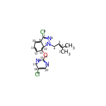 CC(C)=CCn1nc(Cl)c2cccc(Oc3ncc(Cl)cn3)c21